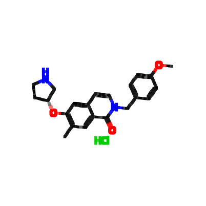 COc1ccc(Cn2ccc3cc(O[C@@H]4CCNC4)c(C)cc3c2=O)cc1.Cl